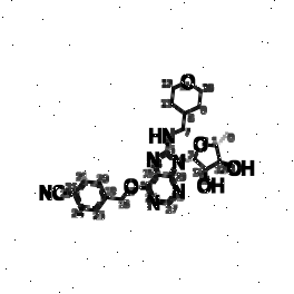 C[C@H]1O[C@@H](n2c(NCC3CCOCC3)nc3c(OCc4ccc(C#N)cc4)ncnc32)[C@H](O)[C@@H]1O